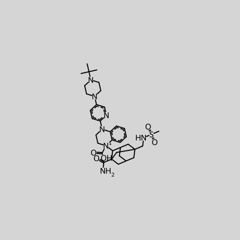 CC(C)(C)N1CCN(c2ccc(N3CC[N+](C(=O)O)(C4C5CC6CC(CNS(C)(=O)=O)(C5)CC4(C(N)=O)C6)c4ccccc43)nc2)CC1